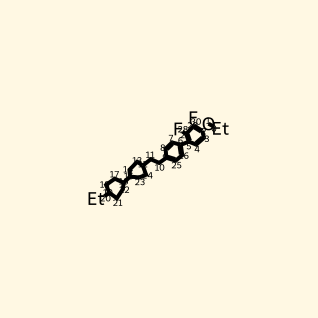 CCOc1ccc(-c2ccc(CCC3CCC(C4CCC(CC)CC4)CC3)cc2)c(F)c1F